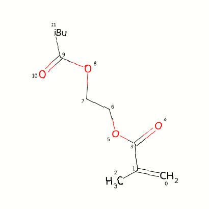 C=C(C)C(=O)OCCOC(=O)C(C)CC